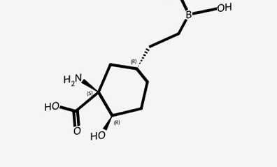 N[C@@]1(C(=O)O)C[C@H](CCB(O)O)CC[C@H]1O